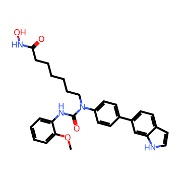 COc1ccccc1NC(=O)N(CCCCCCC(=O)NO)c1ccc(-c2ccc3cc[nH]c3c2)cc1